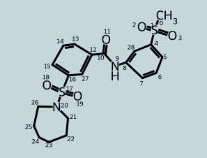 CS(=O)(=O)c1cccc(NC(=O)c2cccc(S(=O)(=O)N3CCCCCC3)c2)c1